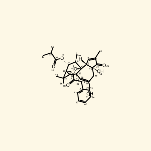 CC1=C[C@H]2[C@@]3(O)[C@H](C)[C@@H](OC(=O)C(C)C)[C@]4(OC(=O)Cc5ccccc5)C([C@@H]3C=C(CO)C[C@]2(O)C1=O)C4(C)C